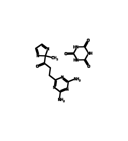 CC1(C(=O)CCc2nc(N)nc(N)n2)N=CC=N1.O=c1[nH]c(=O)[nH]c(=O)[nH]1